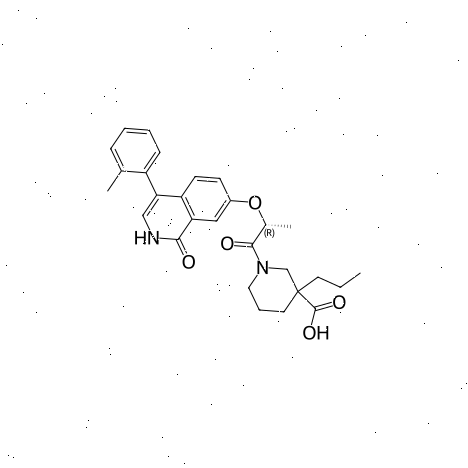 CCCC1(C(=O)O)CCCN(C(=O)[C@@H](C)Oc2ccc3c(-c4ccccc4C)c[nH]c(=O)c3c2)C1